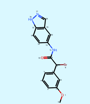 COc1cccc(C(Br)C(=O)Nc2ccc3[nH]ncc3c2)c1